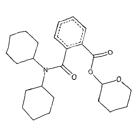 O=C(OC1CCCCO1)c1ccccc1C(=O)N(C1CCCCC1)C1CCCCC1